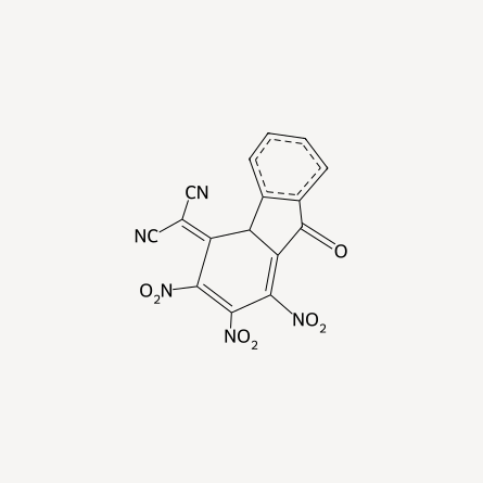 N#CC(C#N)=C1C([N+](=O)[O-])=C([N+](=O)[O-])C([N+](=O)[O-])=C2C(=O)c3ccccc3C12